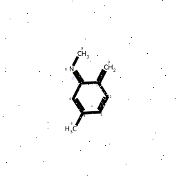 C=C1C=CC(C)=C/C1=N/C